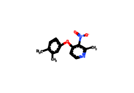 Cc1ccc(Oc2ccnc(C)c2[N+](=O)[O-])cc1C